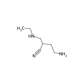 CCNCC(C#N)CCN